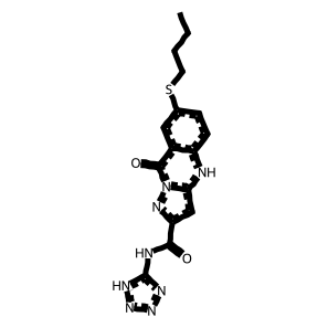 CCCCSc1ccc2[nH]c3cc(C(=O)Nc4nnn[nH]4)nn3c(=O)c2c1